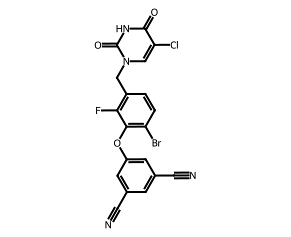 N#Cc1cc(C#N)cc(Oc2c(Br)ccc(Cn3cc(Cl)c(=O)[nH]c3=O)c2F)c1